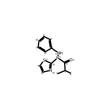 CC(C)C(=O)N(Nc1ccccc1)c1nccs1